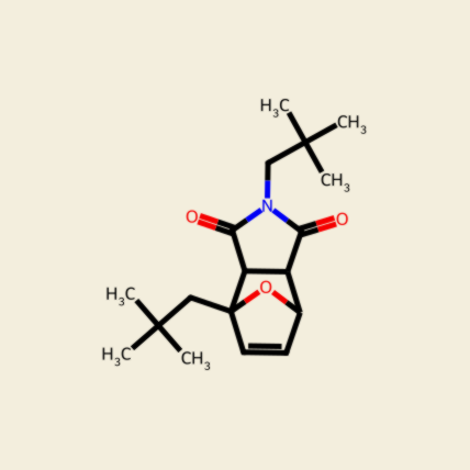 CC(C)(C)CN1C(=O)C2C3C=CC(CC(C)(C)C)(O3)C2C1=O